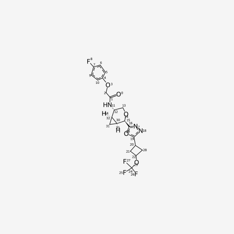 O=C(COc1ccc(F)cc1)N[C@@H]1CO[C@@H](c2nnc(C3CC(OC(F)(F)F)C3)o2)[C@H]2C[C@H]21